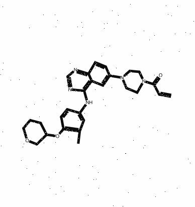 C=CC(=O)N1CCN(c2ccc3ncnc(Nc4ccc(OC5CCCOC5)c(C)c4)c3c2)CC1